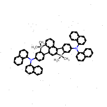 C[Si]1(C)c2cc(N(c3cccc4ccccc34)c3cccc4ccccc34)ccc2-c2c1cc1c3c(cccc23)[Si](C)(C)c2cc(N(c3cccc4ccccc34)c3cccc4ccccc34)ccc2-1